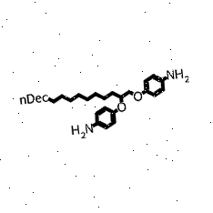 CCCCCCCCCCCCCCCCCCC(COc1ccc(N)cc1)Oc1ccc(N)cc1